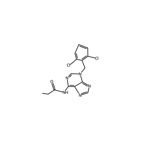 CCC(=O)Nc1ncn(Cc2c(Cl)cccc2Cl)c2ncnc1-2